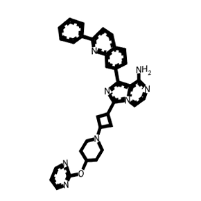 Nc1nccn2c(C3CC(N4CCC(Oc5ncccn5)CC4)C3)nc(-c3ccc4ccc(-c5ccccc5)nc4c3)c12